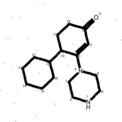 O=C1C=C(N2CCNCC2)C(C2CCCCC2)CC1